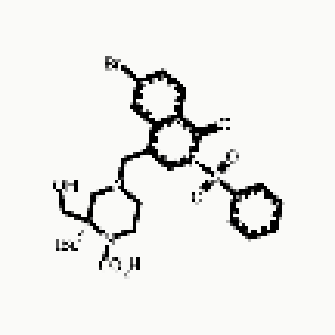 CC(C)(C)[C@]1(CO)CN(Cc2cn(S(=O)(=O)c3ccccc3)c(=O)c3ccc(Br)cc23)CCN1C(=O)O